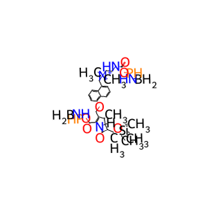 BNPOC(=O)NCC[N+](C)(C)Cc1cccc2c(OCC3=C(C(=O)OPNB)N4C(=O)[C@H]([C@@H](C)O[Si](CC)(CC)CC)[C@H]4[C@H]3C)cccc12